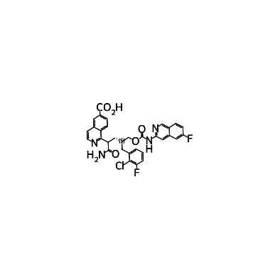 NC(=O)C(C[C@H](COC(=O)Nc1cc2cc(F)ccc2cn1)Cc1cccc(F)c1Cl)c1nccc2cc(C(=O)O)ccc12